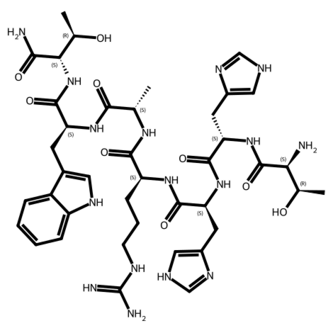 C[C@H](NC(=O)[C@H](CCCNC(=N)N)NC(=O)[C@H](Cc1c[nH]cn1)NC(=O)[C@H](Cc1c[nH]cn1)NC(=O)[C@@H](N)[C@@H](C)O)C(=O)N[C@@H](Cc1c[nH]c2ccccc12)C(=O)N[C@H](C(N)=O)[C@@H](C)O